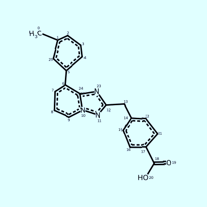 Cc1cccc(-c2cccn3nc(Cc4ccc(C(=O)O)cc4)nc23)c1